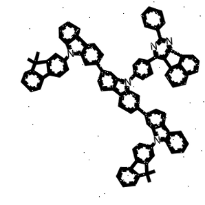 CC1(C)c2ccccc2-c2ccc(-n3c4ccccc4c4ccc(-c5ccc6c7ccc(-c8ccc9c%10ccccc%10n(-c%10ccc%11c(c%10)C(C)(C)c%10ccccc%10-%11)c9c8)cc7n(-c7ccc(-c8nc(-c9ccccc9)nc9c8-c8cccc%10cccc-9c8%10)cc7)c6c5)cc43)cc21